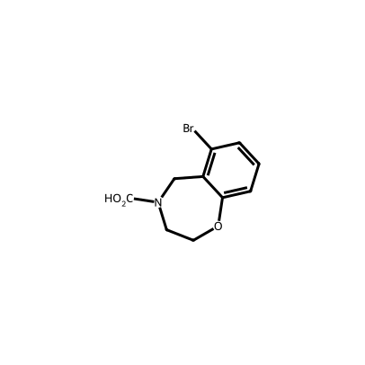 O=C(O)N1CCOc2cccc(Br)c2C1